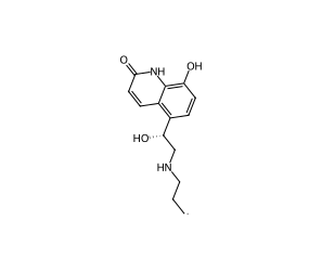 [CH2]CCNC[C@H](O)c1ccc(O)c2[nH]c(=O)ccc12